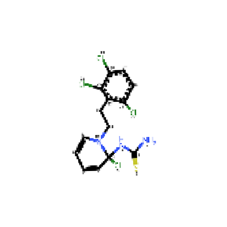 NC(=S)NC1(Cl)C=CC=CN1CCc1c(Cl)ccc(Cl)c1Cl